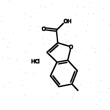 Cc1ccc2cc(C(=O)O)oc2c1.Cl